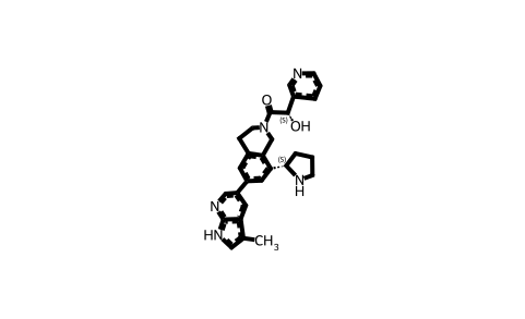 Cc1c[nH]c2ncc(-c3cc4c(c([C@@H]5CCCN5)c3)CN(C(=O)[C@@H](O)c3cccnc3)CC4)cc12